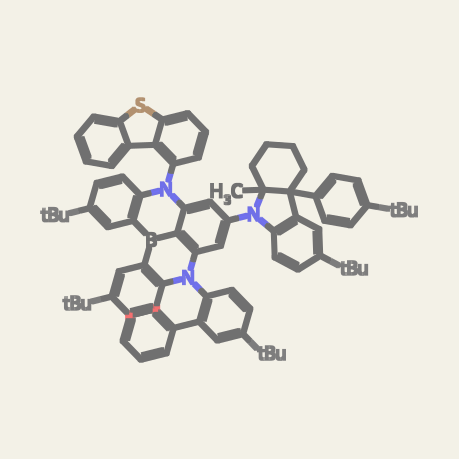 CC(C)(C)c1ccc(C23CCCCC2(C)N(c2cc4c5c(c2)N(c2cccc6sc7ccccc7c26)c2ccc(C(C)(C)C)cc2B5c2cc(C(C)(C)C)ccc2N4c2ccc(C(C)(C)C)cc2-c2ccccc2)c2ccc(C(C)(C)C)cc23)cc1